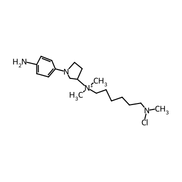 CN(Cl)CCCCCC[N+](C)(C)C1CCN(c2ccc(N)cc2)C1